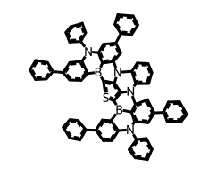 c1ccc(-c2ccc3c(c2)B2c4sc5c6c4N(c4ccccc4N6c4cc(-c6ccccc6)cc6c4B5c4ccc(-c5ccccc5)cc4N6c4ccccc4)c4cc(-c5ccccc5)cc(c42)N3c2ccccc2)cc1